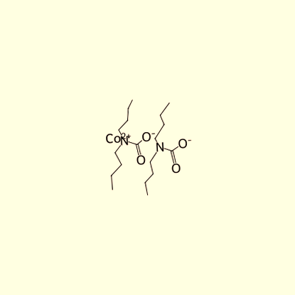 CCCCN(CCCC)C(=O)[O-].CCCCN(CCCC)C(=O)[O-].[Co+2]